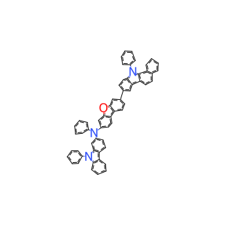 c1ccc(N(c2ccc3c(c2)oc2cc(-c4ccc5c(c4)c4ccc6ccccc6c4n5-c4ccccc4)ccc23)c2ccc3c4ccccc4n(-c4ccccc4)c3c2)cc1